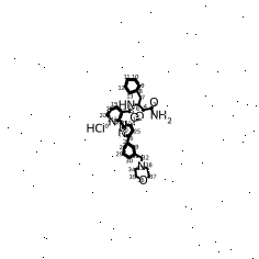 Cl.NC(=O)C(=O)C(Cc1ccccc1)NC(=O)c1cccnc1-n1ccc(-c2cccc(CN3CCOCC3)c2)n1